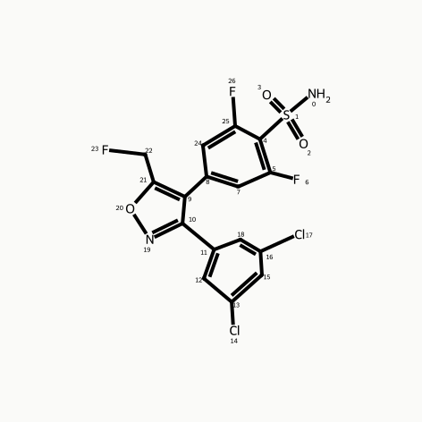 NS(=O)(=O)c1c(F)cc(-c2c(-c3cc(Cl)cc(Cl)c3)noc2CF)cc1F